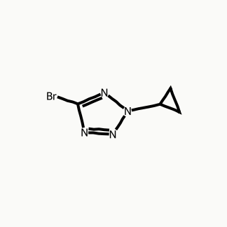 Brc1nnn(C2CC2)n1